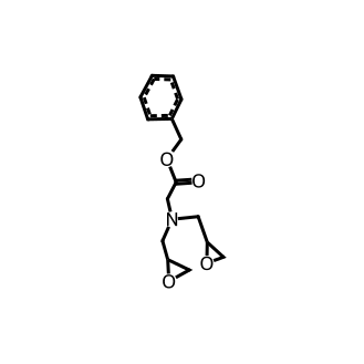 O=C(CN(CC1CO1)CC1CO1)OCc1ccccc1